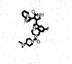 CN(C)C1CCN(C(=O)N2CCn3cc(C4=C(c5cnc6ccccn56)C(=O)NC4)c4cc(F)cc(c43)C2)CC1